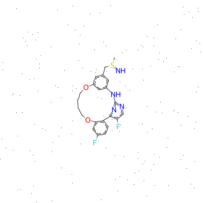 CS(=N)Cc1cc2cc(c1)OCCCCOc1cc(F)ccc1-c1nc(ncc1F)N2